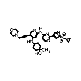 CC1(O)CCC(Nc2cc(Nc3ccnc(-c4cnn(S(=O)(=O)C5CC5)c4)n3)ncc2C#CCN2CCOCC2)CC1